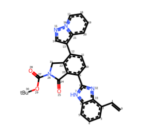 C=Cc1cccc2[nH]c(-c3ccc(-c4cnn5ccccc45)c4c3C(=O)N(C(=O)OC(C)(C)C)C4)nc12